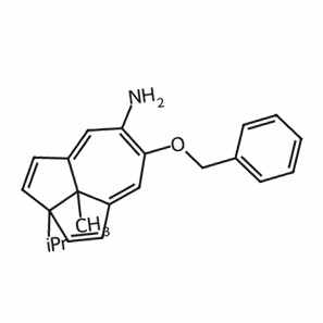 CC(C)C12C=CC3=CC(N)=C(OCc4ccccc4)C=C(C=C1)C32C